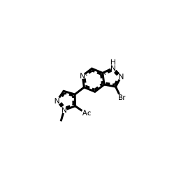 CC(=O)c1c(-c2cc3c(Br)n[nH]c3cn2)cnn1C